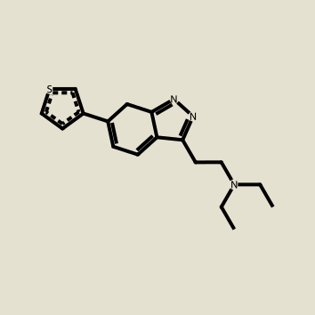 CCN(CC)CCC1=NN=C2CC(c3ccsc3)=CC=C12